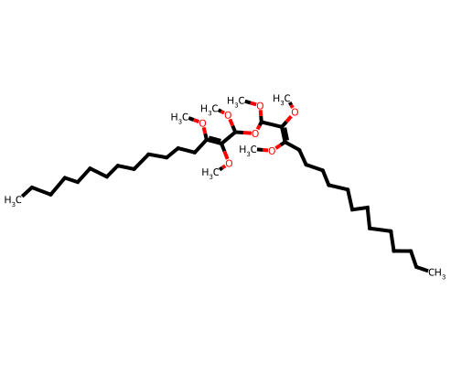 CCCCCCCCCCCCCC(OC)=C(OC)C(OC)OC(OC)C(OC)=C(CCCCCCCCCCCCC)OC